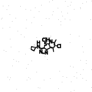 Cc1nc2sc3c(NC4CCC4)ncnc3c2c(C)c1Cl.Cl